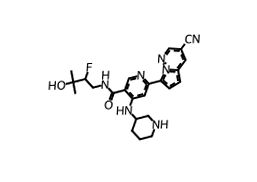 CC(C)(O)C(F)CNC(=O)c1cnc(-c2ccc3cc(C#N)cnn23)cc1NC1CCCNC1